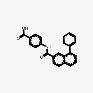 O=C(O)c1ccc(NC(=O)c2ccc3cccc(C4=CC=CCC4)c3c2)cc1